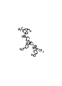 CC(C)=CC(=O)Nc1ccc(C2=C(c3ccc(O)cc3)C3C(O)C2CC3S(=O)(=O)N(CC(F)(F)F)c2ccc(O)cc2)cc1